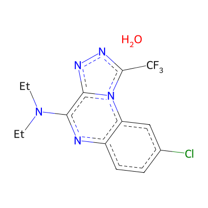 CCN(CC)c1nc2ccc(Cl)cc2n2c(C(F)(F)F)nnc12.O